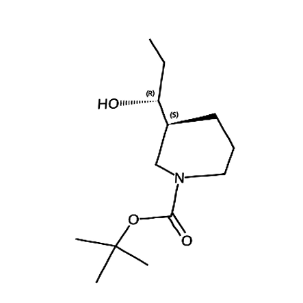 CC[C@@H](O)[C@H]1CCCN(C(=O)OC(C)(C)C)C1